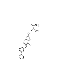 NC(=O)N(O)CCOc1ccc2c(c1)CCN(Cc1cccc(-c3ccccc3)c1)C2=O